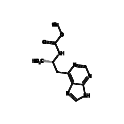 CC(C)(C)OC(=O)N[C@H](Cc1ncnc2[nH]cnc12)C(=O)O